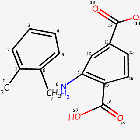 Cc1ccccc1C.Nc1cc(C(=O)O)ccc1C(=O)O